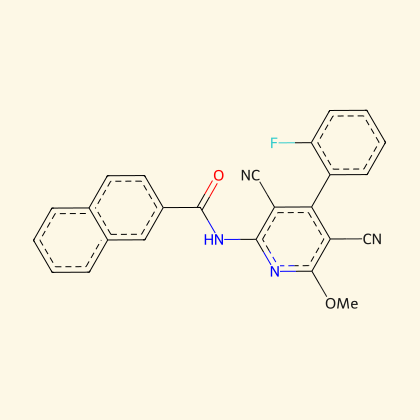 COc1nc(NC(=O)c2ccc3ccccc3c2)c(C#N)c(-c2ccccc2F)c1C#N